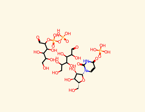 O=CC(O)C(O)C(O)C(O)CO.O=CC(OP(=O)(O)OP(=O)(O)O)C(O)C(O)C(O)CO.O=P(O)(O)O.O=c1ccn([C@@H]2O[C@H](CO)[C@@H](O)[C@H]2O)c(=O)[nH]1